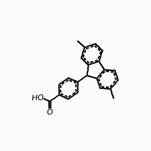 Cc1ccc2c(c1)C(c1ccc(C(=O)O)cc1)c1cc(C)ccc1-2